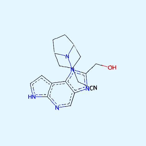 N#CCC1CC2CCC(C1)N2n1c(CO)nc2cnc3[nH]ccc3c21